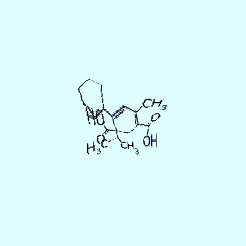 CC1=C(C(=O)O)CC(C(=O)O)(C(C)C)C(C2CCCCC2)=C1